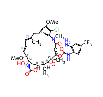 COc1cc2cc(c1Cl)N(C)C(=O)C[C@H](OC(=O)Nc1ccc(C(F)(F)F)cc1N)[C@]1(C)O[C@H]1[C@H](C)[C@@H]1C[C@@](O)(NC(=O)O1)[C@H](OC)/C=C/C=C(\C)C2